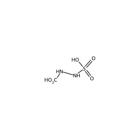 O=C(O)NNS(=O)(=O)O